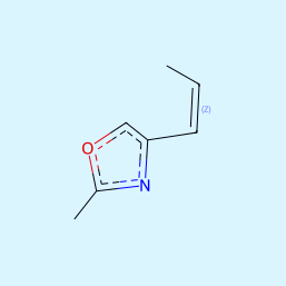 C/C=C\c1coc(C)n1